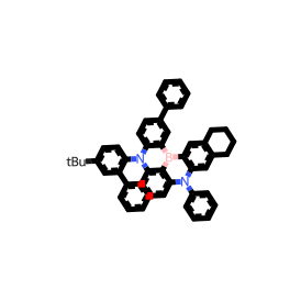 CC(C)(C)c1ccc(N2c3ccc(-c4ccccc4)cc3B3c4cc5c(cc4N(c4ccccc4)c4cccc2c43)CCCC5)c(-c2ccccc2)c1